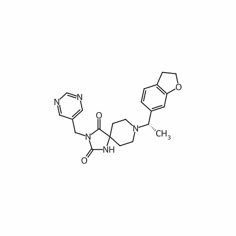 C[C@@H](c1ccc2c(c1)OCC2)N1CCC2(CC1)NC(=O)N(Cc1cncnc1)C2=O